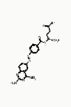 CC(C)C(=O)CC[C@H](NC(=O)c1ccc(/N=N/c2ccc3nc(N)nc(N)c3c2)cc1)C(=O)O